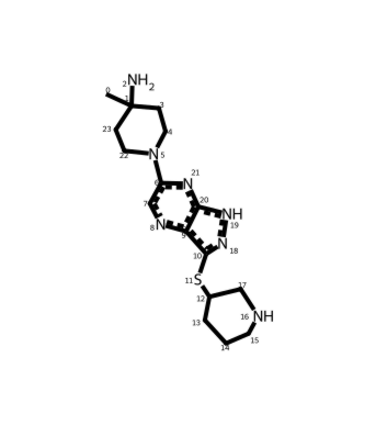 CC1(N)CCN(c2cnc3c(SC4CCCNC4)n[nH]c3n2)CC1